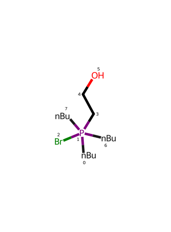 CCCCP(Br)(CCO)(CCCC)CCCC